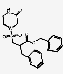 O=C1CN(S(=O)(=O)CC(Cc2ccccc2)C(=O)OCc2ccccc2)CCN1